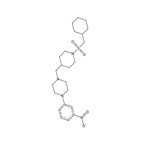 O=[N+]([O-])c1cccc(N2CCN(CC3CCN(S(=O)(=O)CC4CCCCC4)CC3)CC2)c1